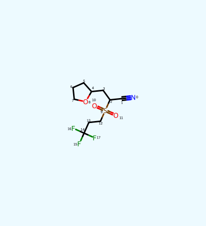 N#CC(CC1CCCO1)S(=O)(=O)CCC(F)(F)F